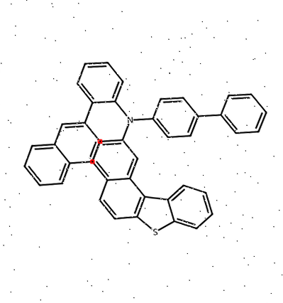 c1ccc(-c2ccc(N(c3ccc4ccc5sc6ccccc6c5c4c3)c3ccccc3-c3ccc4ccccc4c3)cc2)cc1